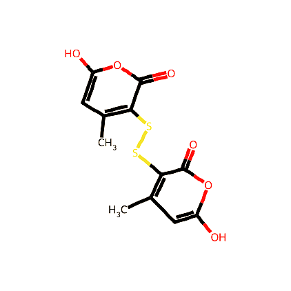 Cc1cc(O)oc(=O)c1SSc1c(C)cc(O)oc1=O